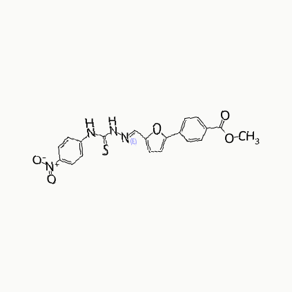 COC(=O)c1ccc(-c2ccc(/C=N/NC(=S)Nc3ccc([N+](=O)[O-])cc3)o2)cc1